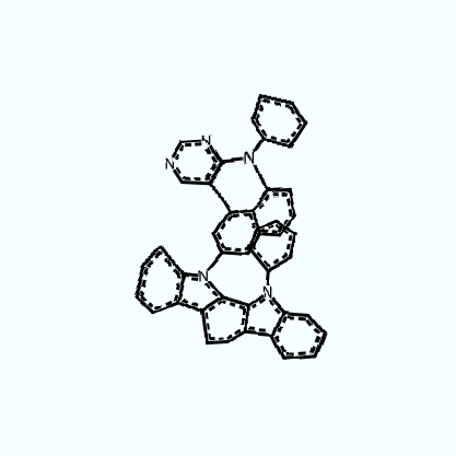 c1ccc(N2c3ncncc3-c3cc(-n4c5ccccc5c5ccc6c7ccccc7n(-c7ccccc7)c6c54)cc4cccc2c34)cc1